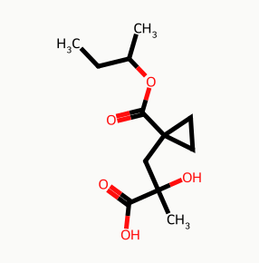 CCC(C)OC(=O)C1(CC(C)(O)C(=O)O)CC1